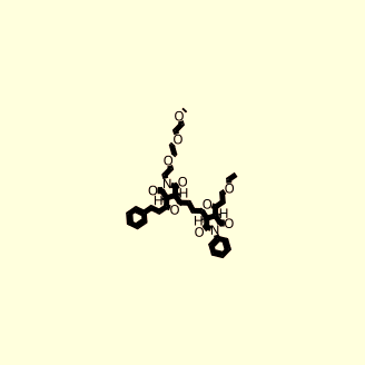 CCOCCC1OC(CCC2OC(CCc3ccccc3)[C@@H]3C(=O)N(CCOCCOCCOC)C(=O)[C@H]23)[C@@H]2C(=O)N(c3ccccc3)C(=O)[C@H]12